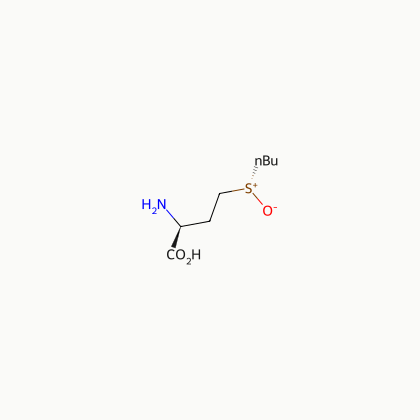 CCCC[S@+]([O-])CC[C@H](N)C(=O)O